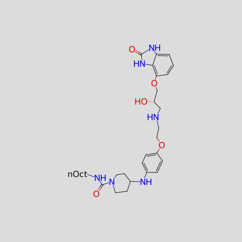 CCCCCCCCNC(=O)N1CCC(Nc2ccc(OCCNC[C@H](O)COc3cccc4[nH]c(=O)[nH]c34)cc2)CC1